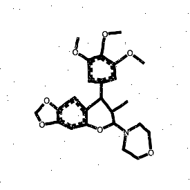 COc1cc(C2c3cc4c(cc3OC(N3CCOCC3)C2C)OCO4)cc(OC)c1OC